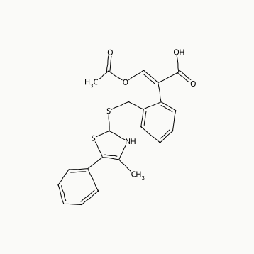 CC(=O)O/C=C(/C(=O)O)c1ccccc1CSC1NC(C)=C(c2ccccc2)S1